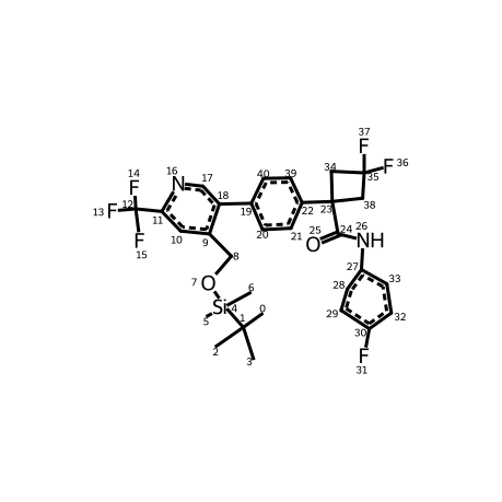 CC(C)(C)[Si](C)(C)OCc1cc(C(F)(F)F)ncc1-c1ccc(C2(C(=O)Nc3ccc(F)cc3)CC(F)(F)C2)cc1